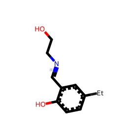 CCc1ccc(O)c(/C=N/CCO)c1